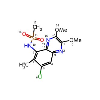 COc1nc2cc(Cl)c(C)c(NS(C)(=O)=O)c2nc1OC